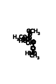 CNC(=O)c1ccc(-c2cccc([C@H]3O[C@H](COC(C)=O)[C@@H](OC(C)=O)[C@H](O)[C@@H]3O)c2)cc1